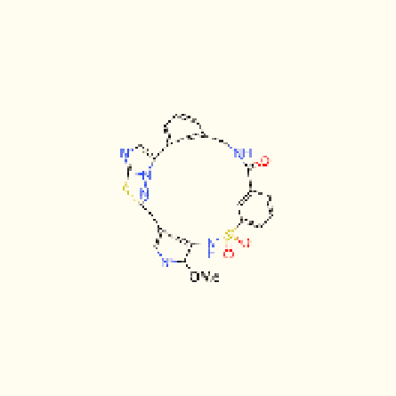 COc1ncc2cc1NS(=O)(=O)c1cccc(c1)C(=O)NCc1cccc(c1)-c1cnc3sc-2nn13